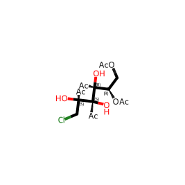 CC(=O)OC[C@@H](OC(C)=O)[C@](O)(C(C)=O)[C@@](O)(C(C)=O)[C@@](O)(CCl)C(C)=O